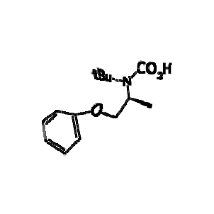 C[C@@H](COc1ccccc1)N(C(=O)O)C(C)(C)C